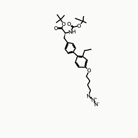 CCc1cc(OCCCCN=[N+]=[N-])ccc1-c1ccc(C[C@H](NC(=O)OC(C)(C)C)C(=O)OC(C)(C)C)cc1